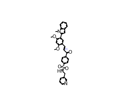 COc1cc(OC)c(-c2cc3ccccc3n2C)cc1/C=C/C(=O)c1ccc(S(=O)(=O)NCc2cccnc2)cc1